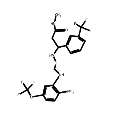 CNC(=O)CC(NSCNc1cc(OC(F)(F)F)ccc1N)c1cccc(C(F)(F)F)c1